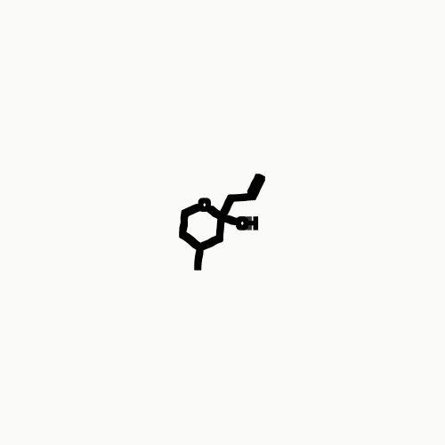 C=CCC1(O)CC(C)CCO1